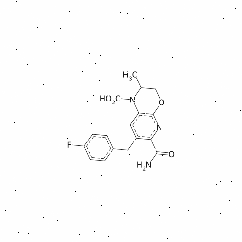 CC1COc2nc(C(N)=O)c(Cc3ccc(F)cc3)cc2N1C(=O)O